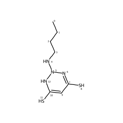 CCCCNN1N=C(S)C=C(S)N1